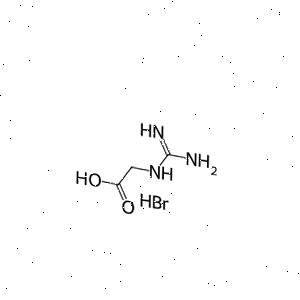 Br.N=C(N)NCC(=O)O